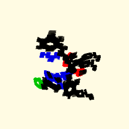 Cc1ccc(-n2cc(Cl)nn2)c(NC(=O)C(OC(=O)[C@@H](N)Cc2ccccc2)C(C)(C)C)c1